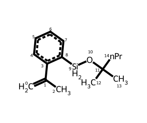 C=C(C)c1ccccc1[SiH2]OC(C)(C)CCC